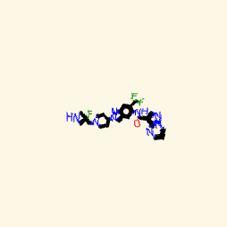 O=C(Nc1cc2cn(C3CCN(CC4(F)CNC4)CC3)nc2cc1C(F)F)c1cnn2cccnc12